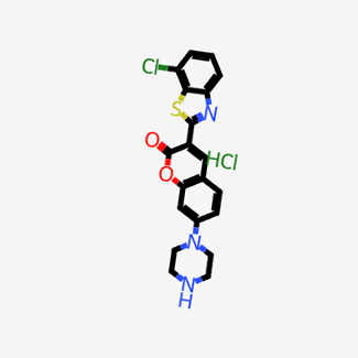 Cl.O=c1oc2cc(N3CCNCC3)ccc2cc1-c1nc2cccc(Cl)c2s1